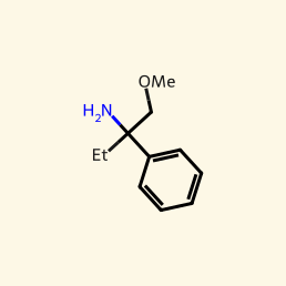 CCC(N)(COC)c1ccccc1